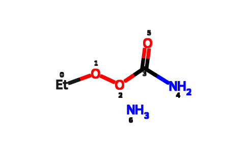 CCOOC(N)=O.N